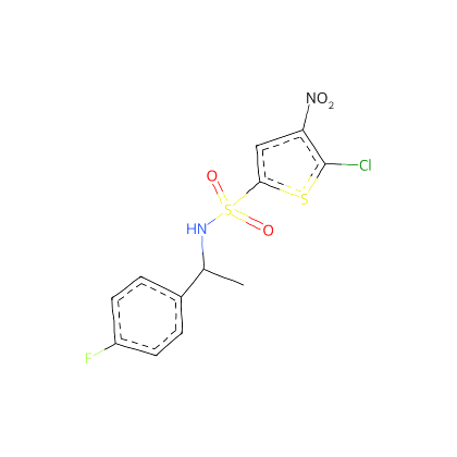 CC(NS(=O)(=O)c1cc([N+](=O)[O-])c(Cl)s1)c1ccc(F)cc1